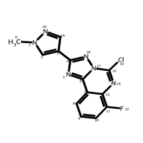 Cn1cc(-c2nc3c4cccc(F)c4nc(Cl)n3n2)cn1